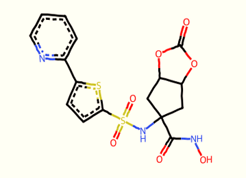 O=C1OC2CC(NS(=O)(=O)c3ccc(-c4ccccn4)s3)(C(=O)NO)CC2O1